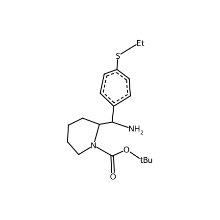 CCSc1ccc(C(N)C2CCCCN2C(=O)OC(C)(C)C)cc1